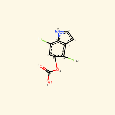 O=C(O)Oc1cc(F)c2[nH]ccc2c1F